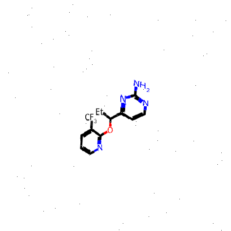 CCC(Oc1ncccc1C(F)(F)F)c1ccnc(N)n1